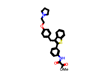 COC(=O)C(=O)Nc1cccc(-c2sc3ccccc3c2Cc2ccc(OCCN3CCCC3)cc2)c1